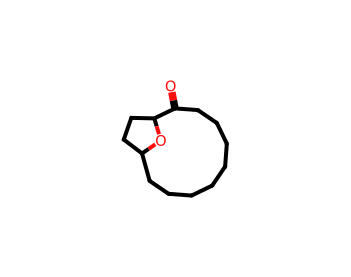 O=C1CCCCCCCCC2CCC1O2